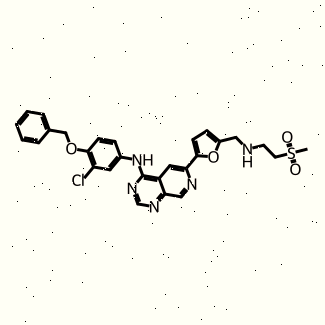 CS(=O)(=O)CCNCc1ccc(-c2cc3c(Nc4ccc(OCc5ccccc5)c(Cl)c4)ncnc3cn2)o1